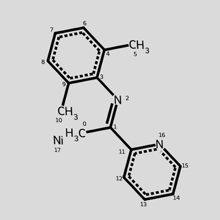 CC(=Nc1c(C)cccc1C)c1ccccn1.[Ni]